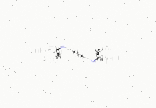 CCCCCC(OC(=O)C[N+](C)(C)CCOC(C)=O)C(O)C/C=C\CCCCCCCC(=O)OCCOC(=O)CCCCCCC/C=C\CC(O)C(CCCCC)OC(=O)C[N+](C)(C)CCOC(C)=O